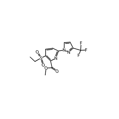 CCS(=O)(=O)c1ccc(-n2ccc(C(F)(F)F)n2)nc1C(=O)OC